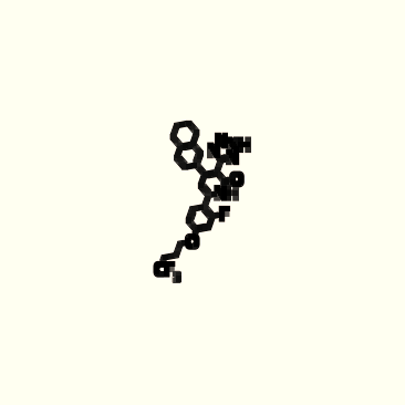 O=c1[nH]c(-c2ccc(OCCCC(F)(F)F)cc2F)cc(-c2ccc3c(c2)CCCC3)c1-c1nn[nH]n1